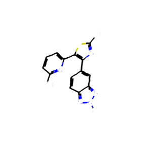 Cc1cccc(-c2sc(C)nc2-c2ccc3nn(C)nc3c2)n1